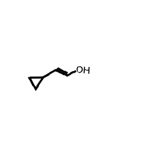 O/C=C/C1CC1